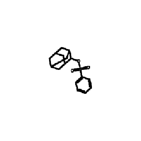 O=S(=O)(OC1C2CC3CC(C2)CC1C3)c1ccccc1